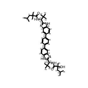 CC(C)CC(C)(C)C(=O)N[C@H](c1nc2cc(-c3ccc(-c4ccc5[nH]c([C@@H](NC(=O)C(C)(O)CC(C)C)C(C)(C)C)nc5c4)cc3)ccc2[nH]1)C(C)(C)C